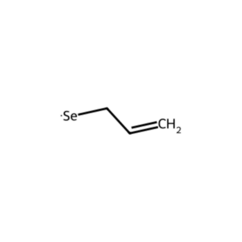 C=CC[Se]